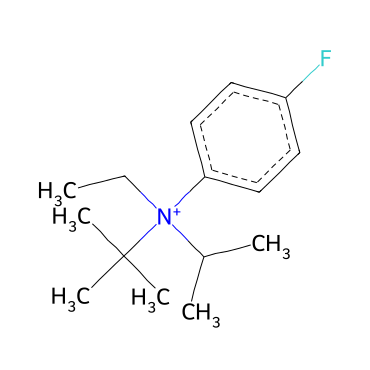 CC[N+](c1ccc(F)cc1)(C(C)C)C(C)(C)C